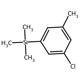 Cc1cc(Cl)cc([Si](C)(C)C)c1